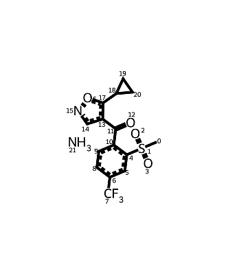 CS(=O)(=O)c1cc(C(F)(F)F)ccc1C(=O)c1cnoc1C1CC1.N